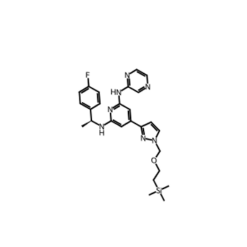 C[C@H](Nc1cc(-c2ccn(COCC[Si](C)(C)C)n2)cc(Nc2cnccn2)n1)c1ccc(F)cc1